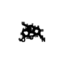 COC1=CC=C2C3Cc4ccc(C#N)c5c4C2(CCN3C)C1O5